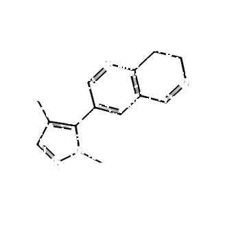 Cc1cnn(C)c1-c1cnc2c(c1)C=NCC2